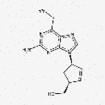 CCCSc1nc(N)nc2c1ncn2[C@H]1C=C[C@@H](CO)C1